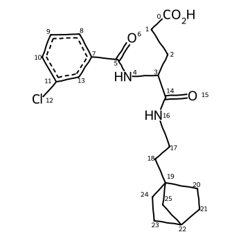 O=C(O)CCC(NC(=O)c1cccc(Cl)c1)C(=O)NCCC12CCC(CC1)C2